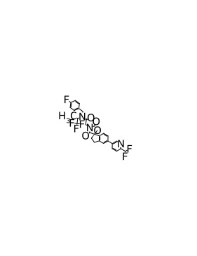 CC(N(Cc1ccc(F)cc1)C(=O)CN1C(=O)O[C@@]2(CCc3cc(-c4ccc(C(F)F)nc4)ccc32)C1=O)C(F)(F)F